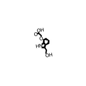 O=C(O)COc1cccc2c(CCO)c[nH]c12